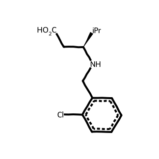 CC(C)[C@H](CC(=O)O)NCc1ccccc1Cl